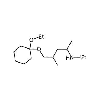 CCOC1(OCC(C)CC(C)NC(C)C)CCCCC1